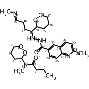 CCCC(=O)N(C)C1CCCOO1.CN=CCCC(NNC(=O)c1ccc2nc(C)ccc2c1)C1CCCOO1